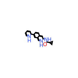 O=C(NC1C=c2ccc(C3C=CC=CN3)cc2=CN1)C1CC1